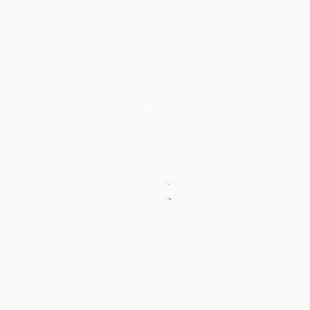 COc1ccc2c(c1)CCC1=C2C(=O)C[C@@]2(C)C1CC[C@@H]2C